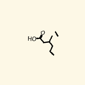 CC.CCCC(C)CC(=O)O